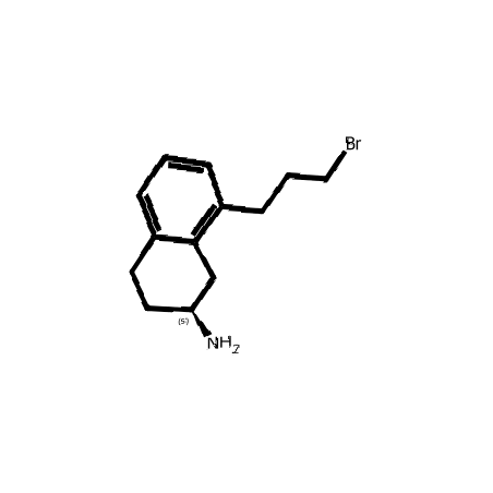 N[C@H]1CCc2cccc(CCCBr)c2C1